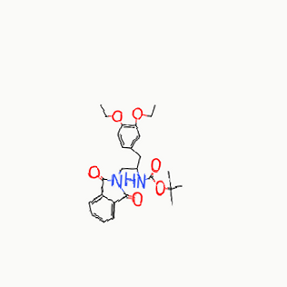 CCOc1ccc(CC(CN2C(=O)c3ccccc3C2=O)NC(=O)OC(C)(C)C)cc1OCC